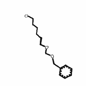 ClCCCCCCOCOCc1ccccc1